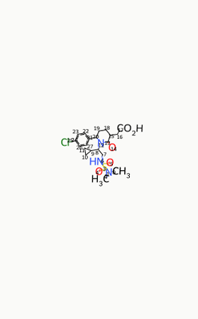 CN(C)S(=O)(=O)NCC(C1CC1)N1C(=O)C(CC(=O)O)CCC1c1ccc(Cl)cc1